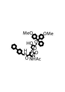 COc1ccc(C(OC[C@H]2O[C@@H](n3cc(C(=O)NCc4ccc(-c5ccccc5)cc4)c(NC(C)=O)nc3=O)C[C@@H]2O)(c2ccccc2)c2ccc(OC)cc2)cc1